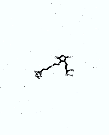 CCCCCC(O)C=CC1C(O)CC(=O)C1CCCCCCc1nnn[nH]1